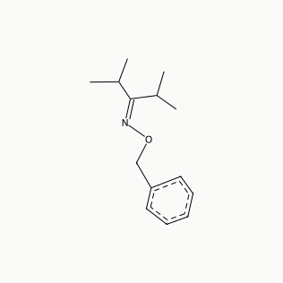 CC(C)C(=NOCc1ccccc1)C(C)C